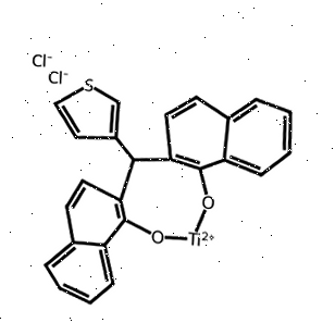 [Cl-].[Cl-].c1ccc2c3c(ccc2c1)C(c1ccsc1)c1ccc2ccccc2c1[O][Ti+2][O]3